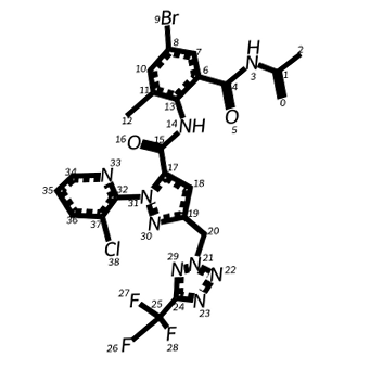 C=C(C)NC(=O)c1cc(Br)cc(C)c1NC(=O)c1cc(Cn2nnc(C(F)(F)F)n2)nn1-c1ncccc1Cl